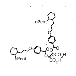 CCCCCC1CCCCC1CCCOc1ccc(C(=O)O[C@@H](C(=O)O)[C@@H](OC(=O)c2ccc(OCCCC3CCCCC3CCCCC)cc2)C(=O)O)cc1